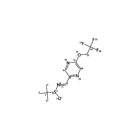 CC(C)(C)[S+]([O-])/N=C/c1cnc(OCC(F)(F)F)cn1